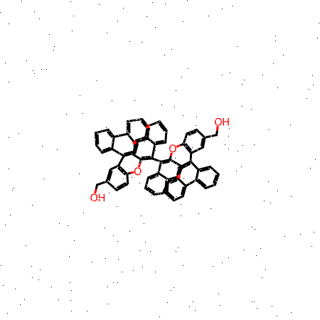 OCc1ccc(Oc2ccc3ccccc3c2-c2c(Oc3ccc(CO)cc3-c3cc4ccccc4c4ccccc34)ccc3ccccc23)c(-c2cc3ccccc3c3ccccc23)c1